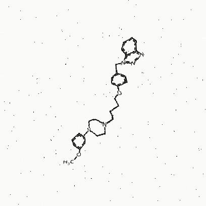 COc1cccc(N2CCN(CCCCOc3ccc(Cn4nnc5ccccc54)cc3)CC2)c1